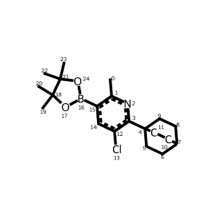 Cc1nc(C23CCC(CC2)CC3)c(Cl)cc1B1OC(C)(C)C(C)(C)O1